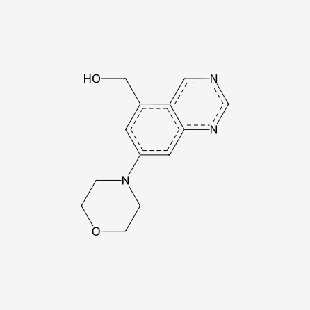 OCc1cc(N2CCOCC2)cc2ncncc12